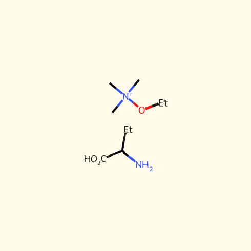 CCC(N)C(=O)O.CCO[N+](C)(C)C